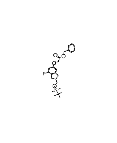 CC(C)(C)[Si](C)(C)OCC1Cc2cc(OCC(=O)OCc3ccccc3)cc(F)c2C1